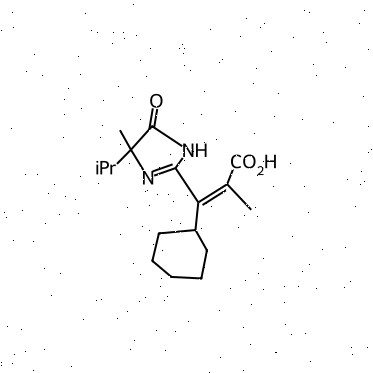 CC(C(=O)O)=C(C1=NC(C)(C(C)C)C(=O)N1)C1CCCCC1